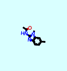 CC(=O)Nc1nc2ccc(C)cc2n1C